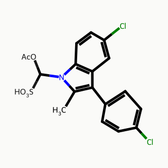 CC(=O)OC(n1c(C)c(-c2ccc(Cl)cc2)c2cc(Cl)ccc21)S(=O)(=O)O